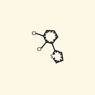 Clc1cccc(-c2cc[c]s2)c1Cl